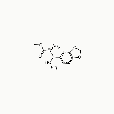 COC(=O)[C@@H](N)C(O)c1ccc2c(c1)OCO2.Cl